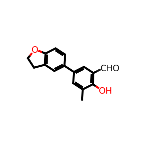 Cc1cc(-c2ccc3c(c2)CCO3)cc(C=O)c1O